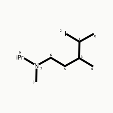 CC(I)C(C)CCN(C)C(C)C